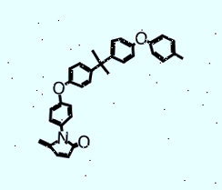 C=C1C=CC(=O)N1c1ccc(Oc2ccc(C(C)(C)c3ccc(Oc4ccc(C)cc4)cc3)cc2)cc1